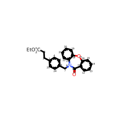 CCOC(=O)CCc1ccc(CN2C(=O)c3ccccc3Oc3ccccc32)cc1